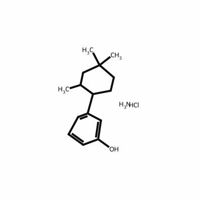 CC1CC(C)(C)CCC1c1cccc(O)c1.Cl.N